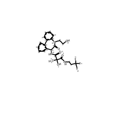 CC(O)(C(=O)NCCC(F)(F)F)C(=O)N[C@@H]1C(=O)N(CCO)c2ccccc2-c2ccccc21